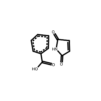 O=C(O)c1ccccc1.O=C1C=CC(=O)N1